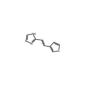 C(=C\c1nnc[nH]1)/c1ccsc1